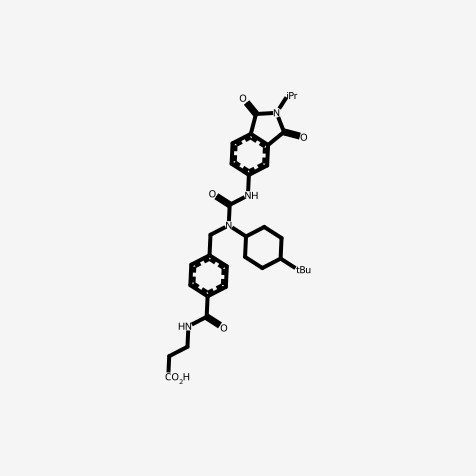 CC(C)N1C(=O)c2ccc(NC(=O)N(Cc3ccc(C(=O)NCCC(=O)O)cc3)C3CCC(C(C)(C)C)CC3)cc2C1=O